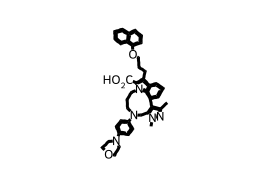 Cc1nn(C)c2c1-c1cccc3c(CCCOc4cccc5ccccc45)c(C(=O)O)n(c13)CCCN(c1ccc(N3CCOCC3)cc1)C2